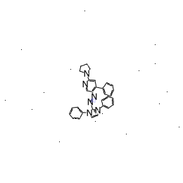 c1ccc(-c2cc(N3CCCC3)ncc2/N=N/c2n(-c3ccccc3)cc[n+]2-c2ccccc2)cc1